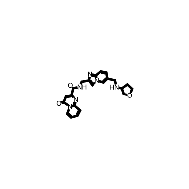 O=C(NCc1cn2cc(CNC3CCOC3)ccc2n1)c1cc(=O)n2ccccc2n1